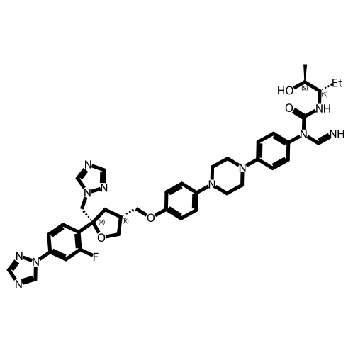 CC[C@H](NC(=O)N(C=N)c1ccc(N2CCN(c3ccc(OC[C@@H]4CO[C@@](Cn5cncn5)(c5ccc(-n6cncn6)cc5F)C4)cc3)CC2)cc1)[C@H](C)O